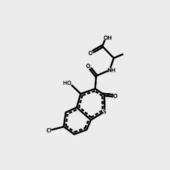 CC(NC(=O)c1c(O)c2cc(Cl)ccc2sc1=O)C(=O)O